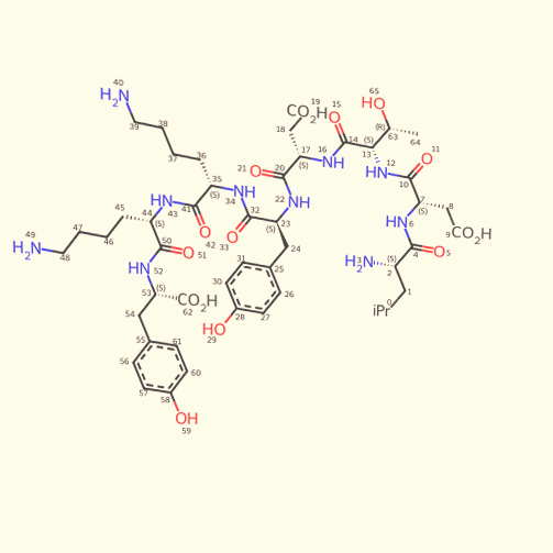 CC(C)C[C@H](N)C(=O)N[C@@H](CC(=O)O)C(=O)N[C@H](C(=O)N[C@@H](CC(=O)O)C(=O)N[C@@H](Cc1ccc(O)cc1)C(=O)N[C@@H](CCCCN)C(=O)N[C@@H](CCCCN)C(=O)N[C@@H](Cc1ccc(O)cc1)C(=O)O)[C@@H](C)O